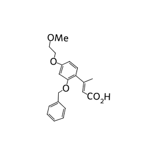 COCCOc1ccc(/C(C)=C/C(=O)O)c(OCc2ccccc2)c1